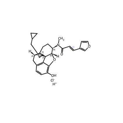 CN(C(=O)/C=C/c1ccoc1)[C@@H]1CC[C@@]2(O)[C@H]3Cc4ccc(O)c5c4[C@@]2(CCN3CC2CC2)[C@H]1O5.[Cl-].[H+]